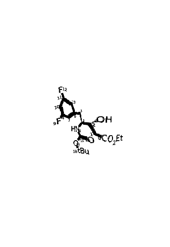 CCOC(=O)C[C@@H](O)[C@H](Cc1cc(F)cc(F)c1)NC(=O)OC(C)(C)C